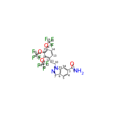 NC(=O)c1ccc2cnn(CCc3ccc(OC(F)(F)F)c(OC(F)(F)F)c3OC(F)(F)F)c2c1